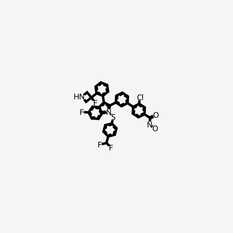 O=NC(=O)c1ccc(-c2cccc(-c3c(-c4ccccc4C4(F)CNC4)c4cc(F)ccc4n3Sc3ccc(C(F)F)cc3)c2)c(Cl)c1